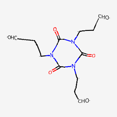 O=[C]C[CH]n1c(=O)n([CH]C[C]=O)c(=O)n([CH]C[C]=O)c1=O